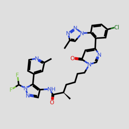 Cc1cc(-c2c(NC(=O)[C@H](C)CCCCn3cnc(-c4cc(Cl)ccc4-n4cc(C)nn4)cc3=O)cnn2C(F)F)ccn1